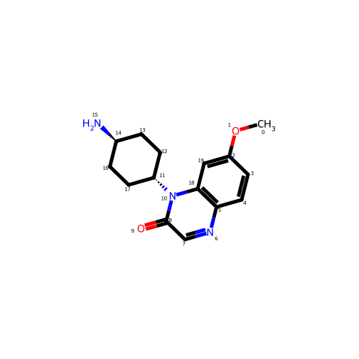 COc1ccc2ncc(=O)n([C@H]3CC[C@H](N)CC3)c2c1